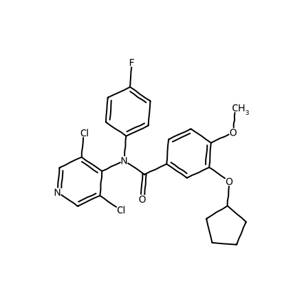 COc1ccc(C(=O)N(c2ccc(F)cc2)c2c(Cl)cncc2Cl)cc1OC1CCCC1